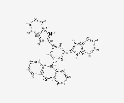 c1ccc2c(c1)Sc1ccccc1N2c1cc(-c2nc3ccccc3s2)cc(-c2nc3ccccc3s2)c1